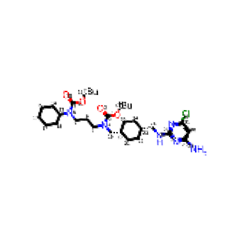 CC(C)(C)OC(=O)N(CCCN(C(=O)OC(C)(C)C)C1CCCCC1)C[C@H]1CC[C@@H](CNc2nc(N)cc(Cl)n2)CC1